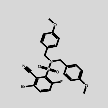 COc1ccc(CN(Cc2ccc(OC)cc2)S(=O)(=O)c2c(F)ccc(Br)c2C#N)cc1